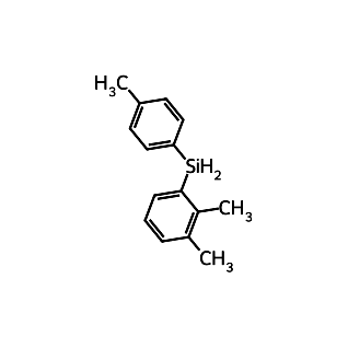 Cc1ccc([SiH2]c2cccc(C)c2C)cc1